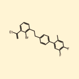 C=C(CC)c1cccc(CCc2ccc(-c3cc(F)c(F)cc3C)cc2)c1Br